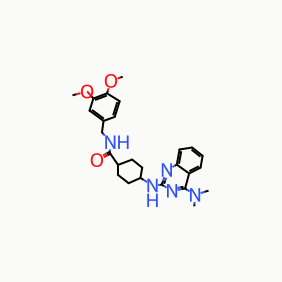 COc1ccc(CNC(=O)C2CCC(Nc3nc(N(C)C)c4ccccc4n3)CC2)cc1OC